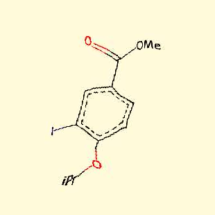 COC(=O)c1ccc(OC(C)C)c(I)c1